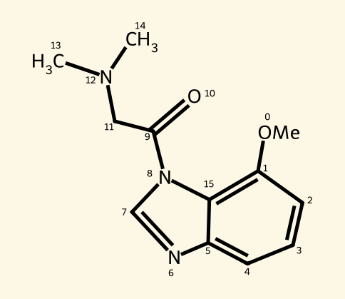 COc1cccc2ncn(C(=O)CN(C)C)c12